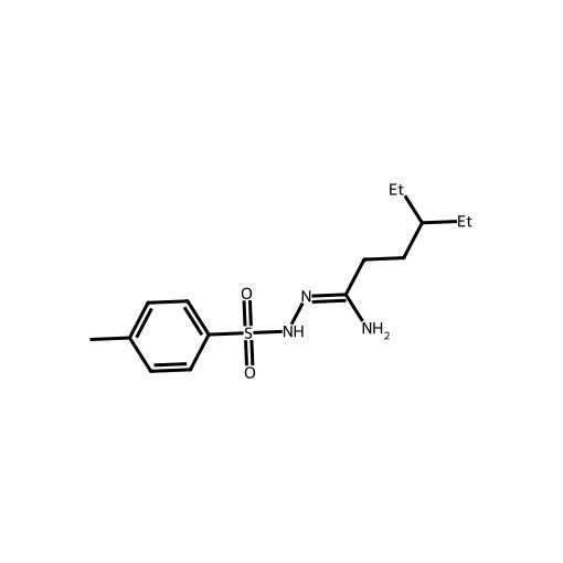 CCC(CC)CCC(N)=NNS(=O)(=O)c1ccc(C)cc1